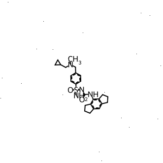 CN(Cc1ccc(S(N)(=O)=NC(=O)Nc2c3c(cc4c2CCC4)CCC3)cc1)CC1CC1